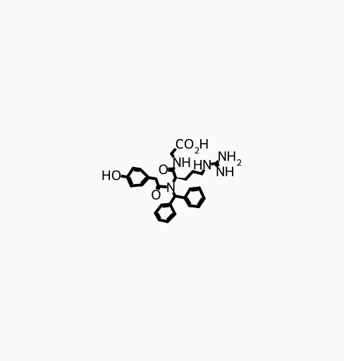 N=C(N)NCCC[C@H](C(=O)NCC(=O)O)N(C(=O)Cc1ccc(O)cc1)C(c1ccccc1)c1ccccc1